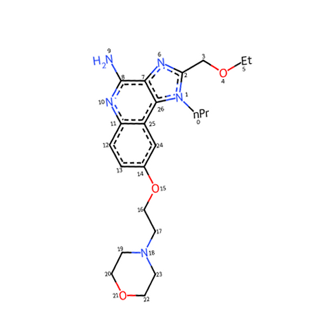 CCCn1c(COCC)nc2c(N)nc3ccc(OCCN4CCOCC4)cc3c21